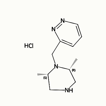 C[C@@H]1CNC[C@H](C)N1Cc1cccnn1.Cl